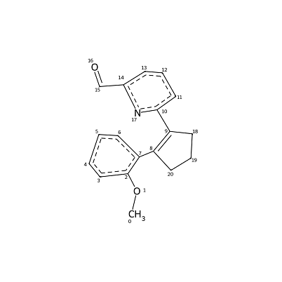 COc1ccccc1C1=C(c2cccc(C=O)n2)CCC1